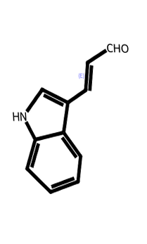 O=C/C=C/c1c[nH]c2ccccc12